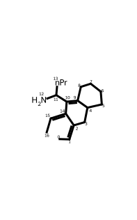 C/C=C1/CC2CCCCC2=C(C(N)CCC)/C1=C/C